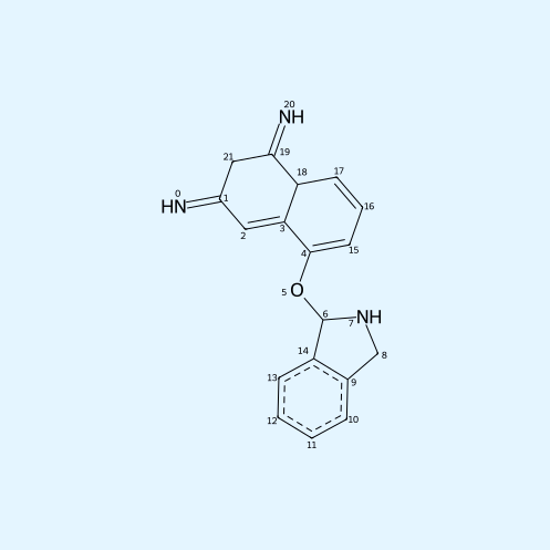 N=C1C=C2C(OC3NCc4ccccc43)=CC=CC2C(=N)C1